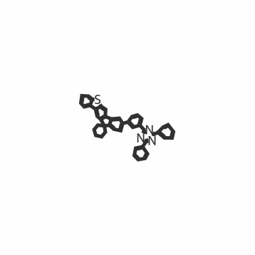 c1ccc(-c2nc(-c3ccccc3)nc(-c3cccc(-c4ccc5c(c4)-c4cc6sc7ccccc7c6cc4C54CCCCC4)c3)n2)cc1